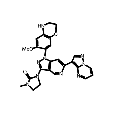 COc1cc2c(cc1-n1nc(N3CCN(C)C3=O)c3cnc(-c4cnn5cccnc45)cc31)OCCN2